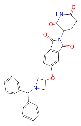 O=C1CCC(N2C(=O)c3ccc(OC4CN(C(c5ccccc5)c5ccccc5)C4)cc3C2=O)C(=O)N1